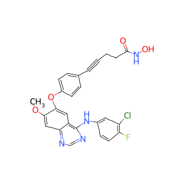 COc1cc2ncnc(Nc3ccc(F)c(Cl)c3)c2cc1Oc1ccc(C#CCCC(=O)NO)cc1